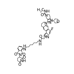 CNC(=O)N1CCc2c(c(N3CCCc4cc(-c5cnn(CC(=O)NCCCCCCCNc6cccc7c6C(=O)N(C6CCC(=O)NC6=O)C7=O)c5)c(C(F)F)cc43)nn2C2CCOCC2)C1